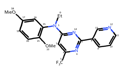 CCN(c1cc(C(F)(F)F)nc(-c2cccnc2)n1)c1cc(OC)ccc1OC